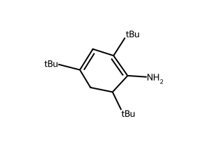 CC(C)(C)C1=CC(C(C)(C)C)=C(N)C(C(C)(C)C)C1